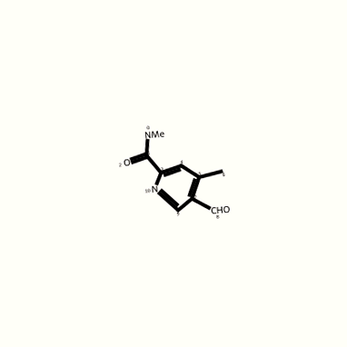 CNC(=O)c1cc(C)c(C=O)cn1